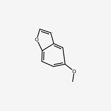 COc1ccc2oc[c]c2c1